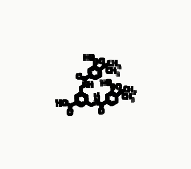 CC1(C)OB(O)c2cc(C(=O)NCc3cc(CNC(=O)c4ccc5c(c4)B(O)OC5(C)C)cc(C(=O)O)c3)ccc21